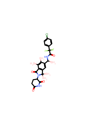 Bc1c(C(B)NC(=O)C(F)(F)c2ccc(Cl)cc2)cc2c(c1B)C(=O)N(C1CCC(=O)NC1=O)C2(B)B